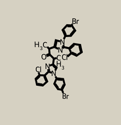 CC(C(=O)C(C)c1cn(-c2ccc(Br)cc2)c(-c2ccccc2Cl)n1)c1cn(-c2ccc(Br)cc2)c(-c2ccccc2Cl)n1